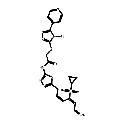 C=C/C=C(\C=C/Cc1nnc(NC(=O)CSc2nnc(-c3ccncc3)n2CC)s1)S(=N)(=O)C1CC1